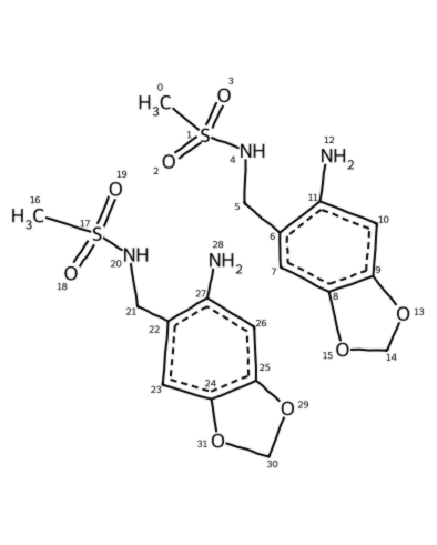 CS(=O)(=O)NCc1cc2c(cc1N)OCO2.CS(=O)(=O)NCc1cc2c(cc1N)OCO2